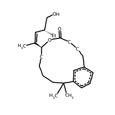 CC[C@H](/C=C(/C)[C@@H]1CCCCC(C)(C)c2cccc(c2)CCCC(=O)O1)CO